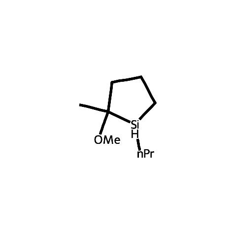 CCC[SiH]1CCCC1(C)OC